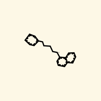 [CH](CCCCc1ccccc1)c1cccc2ccccc12